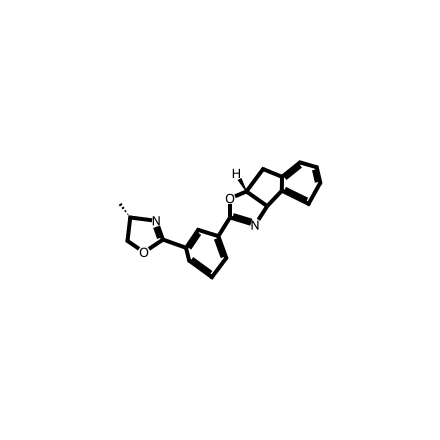 C[C@H]1COC(c2cccc(C3=NC4c5ccccc5C[C@H]4O3)c2)=N1